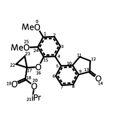 COc1ccc(-c2cccc3c2CCC3=O)c(OC2(C(=O)OC(C)C)CC2)c1OC